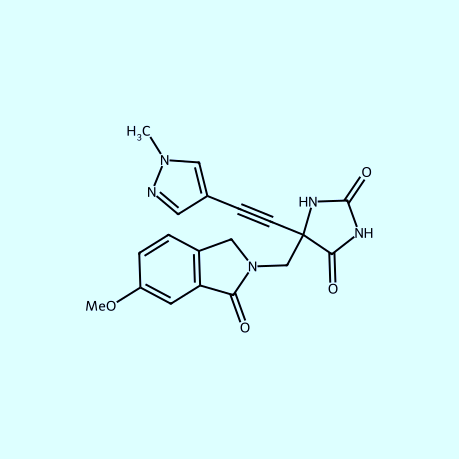 COc1ccc2c(c1)C(=O)N(CC1(C#Cc3cnn(C)c3)NC(=O)NC1=O)C2